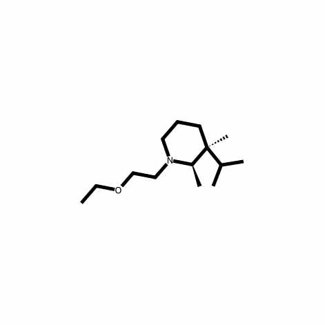 CCOCCN1CCC[C@@](C)(C(C)C)[C@H]1C